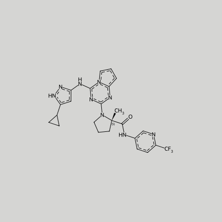 C[C@@]1(C(=O)Nc2ccc(C(F)(F)F)nc2)CCCN1c1nc(Nc2cc(C3CC3)[nH]n2)n2cccc2n1